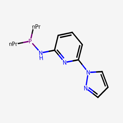 CCCP(CCC)Nc1cccc(-n2cccn2)n1